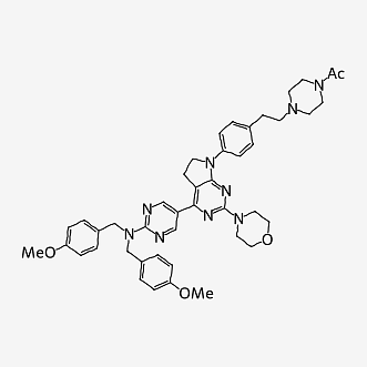 COc1ccc(CN(Cc2ccc(OC)cc2)c2ncc(-c3nc(N4CCOCC4)nc4c3CCN4c3ccc(CCN4CCN(C(C)=O)CC4)cc3)cn2)cc1